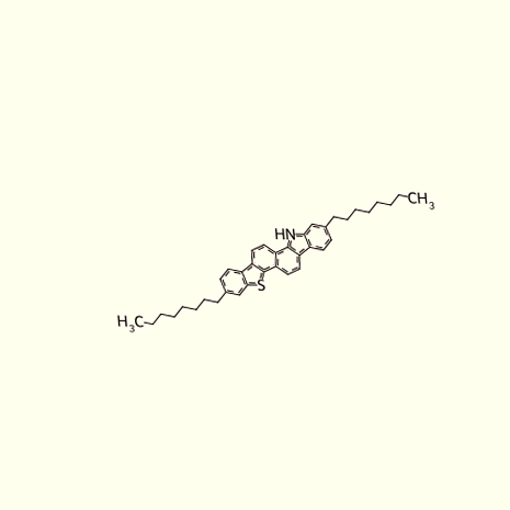 CCCCCCCCc1ccc2c(c1)[nH]c1c2ccc2c1ccc1c3ccc(CCCCCCCC)cc3sc12